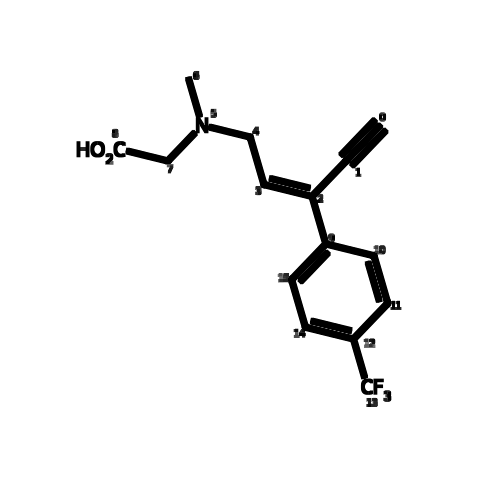 C#CC(=CCN(C)CC(=O)O)c1ccc(C(F)(F)F)cc1